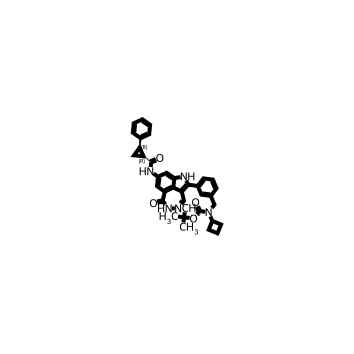 CC(C)(C)OC(=O)N(Cc1cccc(-c2[nH]c3cc(NC(=O)[C@@H]4C[C@H]4c4ccccc4)cc4c3c2C=NNC4=O)c1)C1CCC1